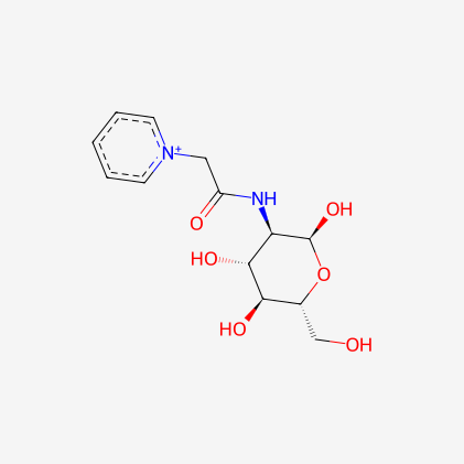 O=C(C[n+]1ccccc1)N[C@@H]1[C@@H](O)[C@H](O)[C@@H](CO)O[C@@H]1O